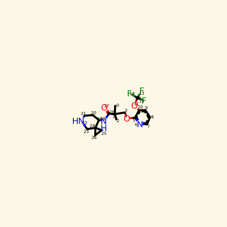 CC(C)(COc1ncccc1OC(F)(F)F)C(=O)NC1CCNCC12CC2